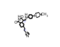 CN1CCN(c2ccc(N/C=C3\C(=O)NC(=O)c4ccc(/C=C/n5ccnc5)cc43)cc2)CC1